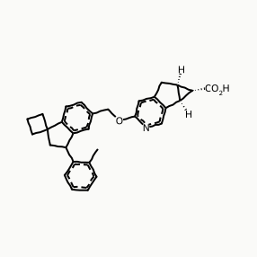 Cc1ccccc1C1CC2(CCC2)c2ccc(COc3cc4c(cn3)[C@H]3[C@@H](C4)[C@@H]3C(=O)O)cc21